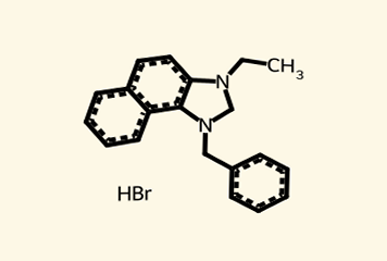 Br.CCN1CN(Cc2ccccc2)c2c1ccc1ccccc21